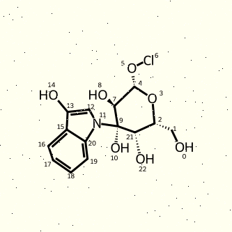 OC[C@H]1O[C@@H](OCl)[C@H](O)[C@](O)(n2cc(O)c3ccccc32)[C@H]1O